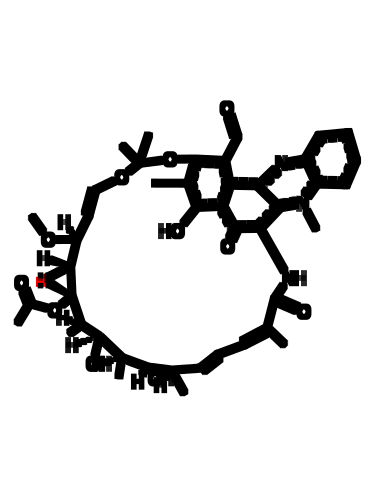 CO[C@H]1/C=C/OC(C)(C)Oc2c(C)c(O)c3c(=O)c(c4n(C)c5ccccc5nc-4c3c2C=O)NC(=O)/C(C)=C\C=C\[C@H](C)[C@H](O)[C@@H](C)[C@@H](O)[C@@H](C)[C@H](OC(C)=O)[C@@H]1C